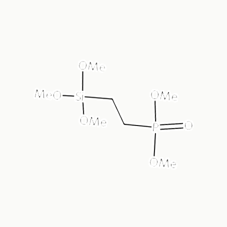 CO[Si](CCP(=O)(OC)OC)(OC)OC